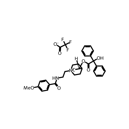 COc1ccc(C(=O)NCC[N+]23CCC(CC2)[C@@H](OC(=O)C(O)(c2ccccc2)c2ccccc2)C3)cc1.O=C([O-])C(F)(F)F